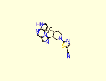 C[C@H]1CCN(c2ncc(C#N)s2)C[C@H]1c1ncc2cnc3[nH]ccc3n12